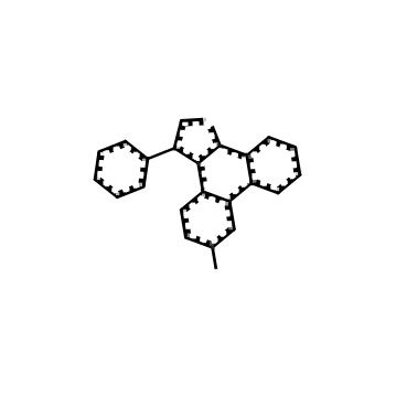 Clc1ccc2c(c1)c1ccccc1c1occ(-c3ccccc3)c21